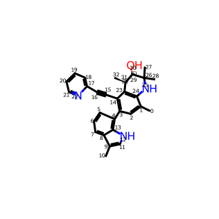 Cc1cc(-c2cccc3c(C)c[nH]c23)c(C#Cc2ccccn2)c2c1NC(C)(C)[C@@H](O)[C@@H]2C